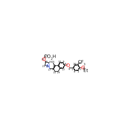 CCOc1ccc(COc2ccc3c(c2)CCC(CN2CC(OC(=O)O)C2)=C3C)cc1C(F)(F)F